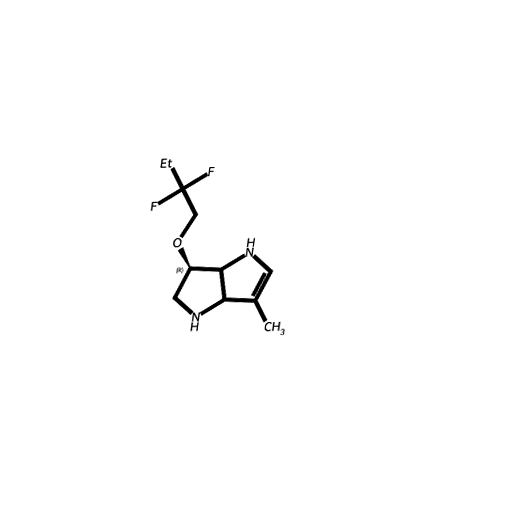 CCC(F)(F)CO[C@@H]1CNC2C(C)=CNC21